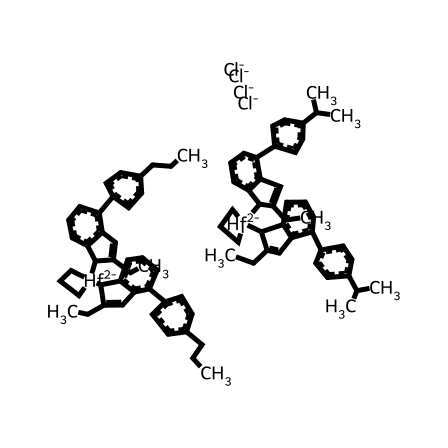 CCC1=Cc2c(-c3ccc(C(C)C)cc3)cccc2[CH]1[Hf-2]1([CH]2C(CC)=Cc3c(-c4ccc(C(C)C)cc4)cccc32)[CH2]C[CH2]1.CCCc1ccc(-c2cccc3c2C=C(CC)[CH]3[Hf-2]2([CH]3C(CC)=Cc4c(-c5ccc(CCC)cc5)cccc43)[CH2]C[CH2]2)cc1.[Cl-].[Cl-].[Cl-].[Cl-]